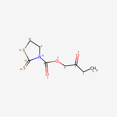 CCC(=O)COC(=O)N1CCSC1=S